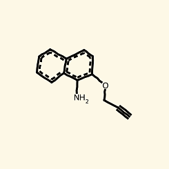 C#CCOc1ccc2ccccc2c1N